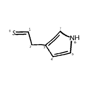 S=CCc1cc[nH]c1